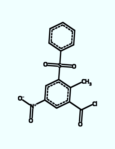 Cc1c(C(=O)Cl)cc([N+](=O)[O-])cc1S(=O)(=O)c1ccccc1